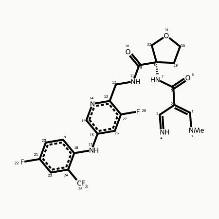 CN/C=C(\C=N)C(=O)N[C@@]1(C(=O)NCc2ncc(Nc3ccc(F)cc3C(F)(F)F)cc2F)CCOC1